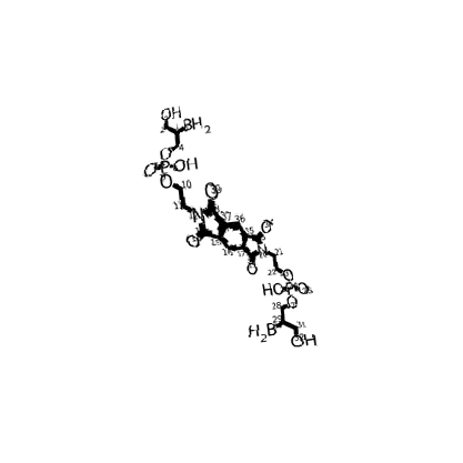 BC(CO)COP(=O)(O)OCCn1c(=O)c2cc3c(=O)n(CCOP(=O)(O)OCC(B)CO)c(=O)c3cc2c1=O